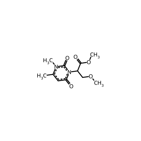 COCC(C(=O)OC)n1c(=O)cc(C)n(C)c1=O